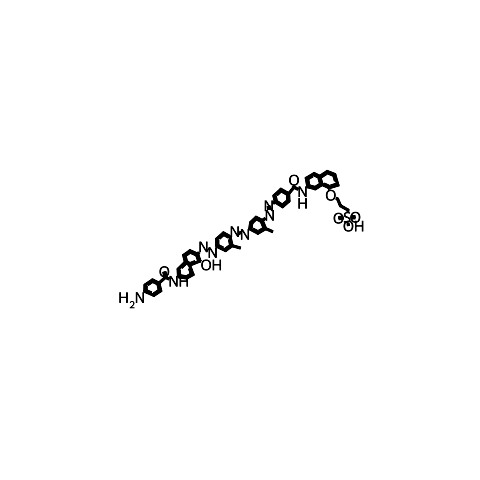 Cc1cc(N=Nc2ccc(N=Nc3ccc4cc(NC(=O)c5ccc(N)cc5)ccc4c3O)cc2C)ccc1N=Nc1ccc(C(=O)Nc2ccc3cccc(OCCCS(=O)(=O)O)c3c2)cc1